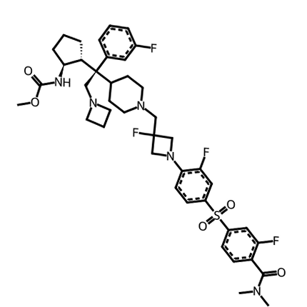 COC(=O)N[C@H]1CCC[C@@H]1[C@](CN1CCC1)(c1cccc(F)c1)C1CCN(CC2(F)CN(c3ccc(S(=O)(=O)c4ccc(C(=O)N(C)C)c(F)c4)cc3F)C2)CC1